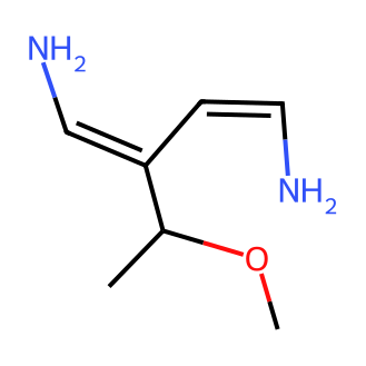 COC(C)C(/C=C\N)=C/N